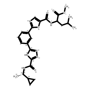 COC(=O)C(CC(C)C)NC(=O)c1cnc(-c2cccc(-c3nnc(C(=O)N[C@@H](C)C4CC4)[nH]3)c2)o1